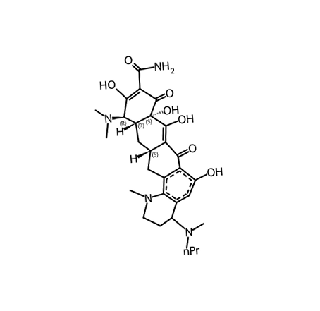 CCCN(C)C1CCN(C)c2c1cc(O)c1c2C[C@@H]2C[C@@H]3[C@@H](N(C)C)C(O)=C(C(N)=O)C(=O)[C@@]3(O)C(O)=C2C1=O